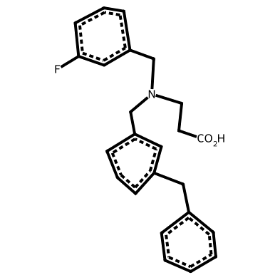 O=C(O)CCN(Cc1cccc(F)c1)Cc1cccc(Cc2ccccc2)c1